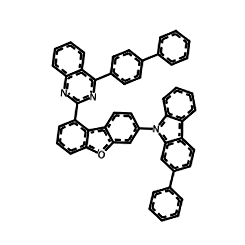 c1ccc(-c2ccc(-c3nc(-c4cccc5oc6cc(-n7c8ccccc8c8ccc(-c9ccccc9)cc87)ccc6c45)nc4ccccc34)cc2)cc1